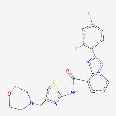 O=C(Nc1nc(CN2CCOCC2)cs1)c1cccn2cc(-c3ccc(F)cc3F)nc12